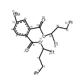 CCC(CCC(C)C)OC(=O)c1ccc(C(C)(C)C)cc1C(=O)OC(CC)CCC(C)C